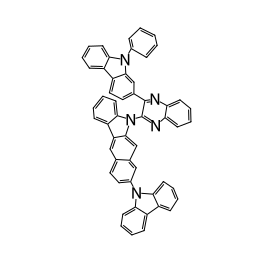 c1ccc(-n2c3ccccc3c3ccc(-c4nc5ccccc5nc4-n4c5ccccc5c5cc6ccc(-n7c8ccccc8c8ccccc87)cc6cc54)cc32)cc1